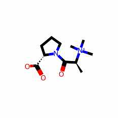 C[C@@H](C(=O)N1CCC[C@H]1C(=O)[O-])[N+](C)(C)C